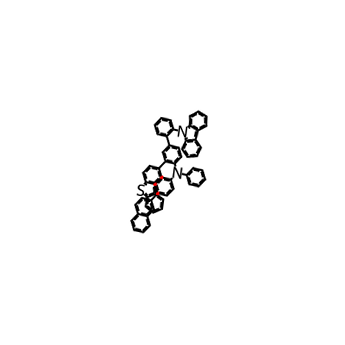 c1ccc(N(c2ccc(-c3ccc4ccccc4c3)cc2)c2ccc(-c3ccccc3-n3c4ccccc4c4ccccc43)cc2-c2ccc3sc4ccccc4c3c2)cc1